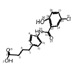 O=C(O)CCCc1ccc(NC(=O)c2cc(Cl)ccc2O)cc1